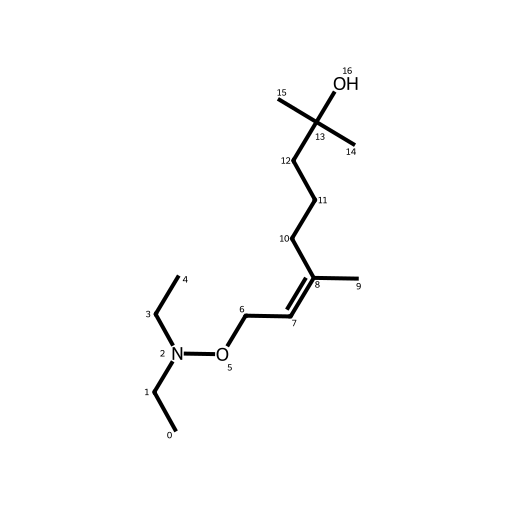 CCN(CC)OCC=C(C)CCCC(C)(C)O